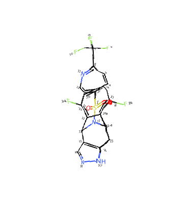 O=S(=O)(c1ccc(C(F)(F)F)nc1)N1C2Cc3[nH]ncc3C1c1c(F)ccc(F)c12